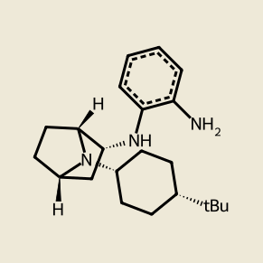 CC(C)(C)[C@H]1CC[C@@H](N2[C@H]3CC[C@@H]2[C@H](Nc2ccccc2N)C3)CC1